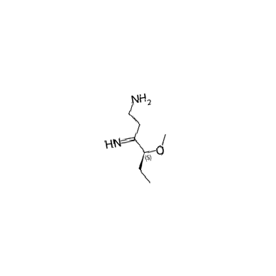 CC[C@H](OC)C(=N)CCN